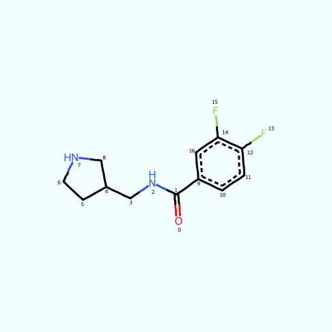 O=C(NCC1CCNC1)c1ccc(F)c(F)c1